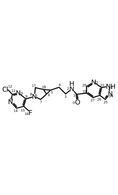 O=C(NCCC1C2CN(c3nc(Cl)ncc3F)CC12)c1cnc2[nH]ncc2c1